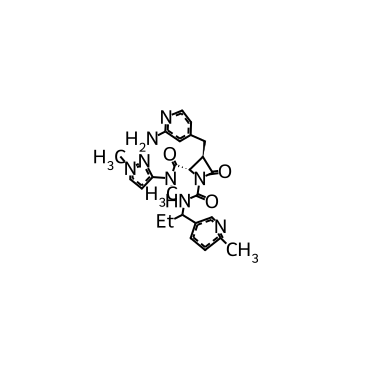 CCC(NC(=O)N1C(=O)[C@H](Cc2ccnc(N)c2)[C@H]1C(=O)N(C)c1ccn(C)n1)c1ccc(C)nc1